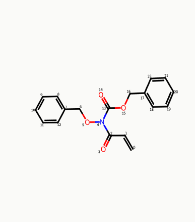 C=CC(=O)N(OCc1ccccc1)C(=O)OCc1ccccc1